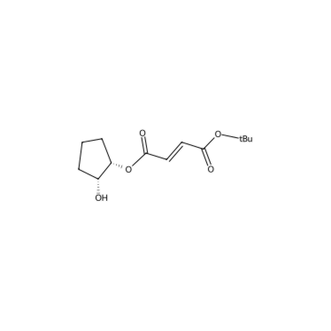 CC(C)(C)OC(=O)/C=C/C(=O)O[C@H]1CCC[C@H]1O